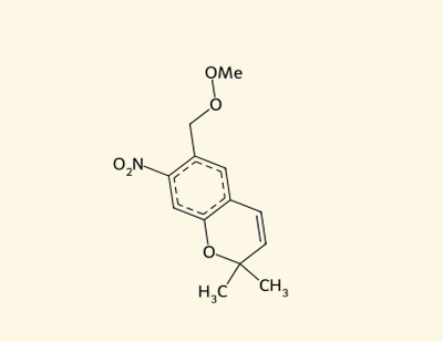 COOCc1cc2c(cc1[N+](=O)[O-])OC(C)(C)C=C2